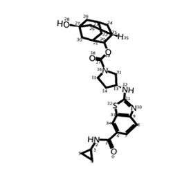 O=C(NC1CC1)c1ccc2nc(N[C@@H]3CCN(C(=O)OC4C5CC6C[C@H]4C[C@@](O)(C6)C5)C3)sc2c1